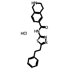 Cl.O=C(Nc1nnc(CCc2ccccc2)s1)c1ccc2c(c1)CCNC2